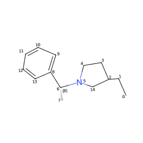 CCC1CCN([C@H](C)c2ccccc2)C1